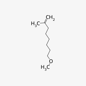 C=C(C)CCCCCCOC